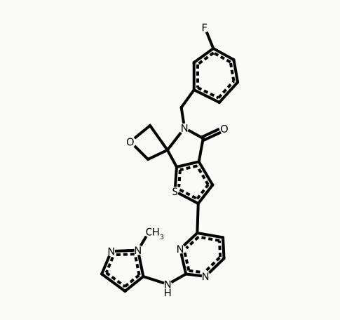 Cn1nccc1Nc1nccc(-c2cc3c(s2)C2(COC2)N(Cc2cccc(F)c2)C3=O)n1